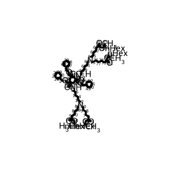 CCCCCCC(C)OC(=O)CCCCCN(CCCCCCNC(=O)C1(COCc2ccccc2)CC(COCc2ccccc2)(C(=O)O)CC(COCc2ccccc2)(C(=O)NCCCCCCN(CCCCCC(=O)OC(C)CCCCCC)CCCCCC(=O)OC(C)CCCCCC)C1)CCCCCC(=O)OC(C)CCCCCC